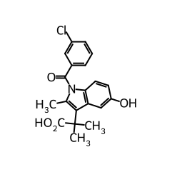 Cc1c(C(C)(C)C(=O)O)c2cc(O)ccc2n1C(=O)c1cccc(Cl)c1